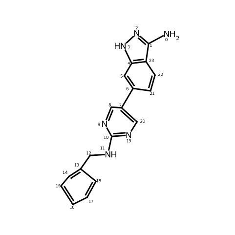 Nc1n[nH]c2cc(-c3cnc(NCc4ccccc4)nc3)ccc12